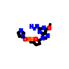 COc1nc(N)nc2c1ncn2C1CCC(CPOn2ccnc2)O1